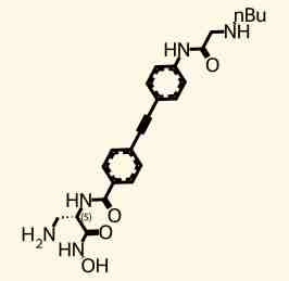 CCCCNCC(=O)Nc1ccc(C#Cc2ccc(C(=O)N[C@@H](CN)C(=O)NO)cc2)cc1